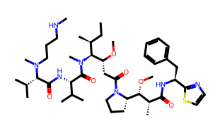 CC[C@H](C)[C@@H]([C@@H](CC(=O)N1CCC[C@H]1[C@H](OC)[C@@H](C)C(=O)N[C@@H](Cc1ccccc1)c1nccs1)OC)N(C)C(=O)[C@@H](NC(=O)[C@H](C(C)C)N(C)CCCNC)C(C)C